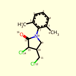 Cc1cccc(C)c1N1CC(CCl)C(Cl)C1=O